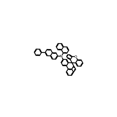 c1ccc(-c2ccc3cc(N(c4ccc5c(c4)C4(c6ccccc6Oc6ccccc64)c4cccc6cccc-5c46)c4cccc5ccccc45)ccc3c2)cc1